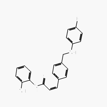 Nc1ccccc1NC(=O)/C=C\c1ccc(CNc2ccc(F)cc2)cc1